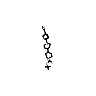 CC(C)(C)OC(=O)N1CCC(C2CCN(c3ccc(C#N)cn3)CC2)CC1